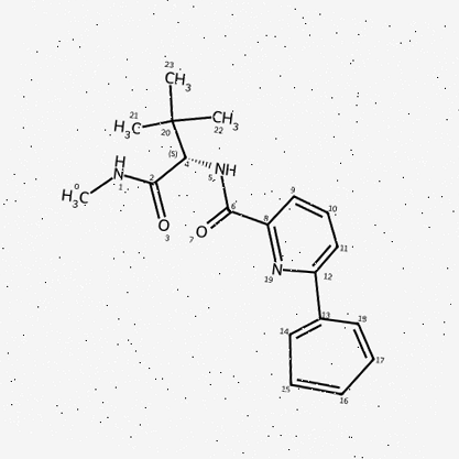 CNC(=O)[C@@H](NC(=O)c1cccc(-c2ccccc2)n1)C(C)(C)C